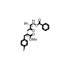 COC(=O)[C@@H](CC(=O)[C@@H](NOC(=O)c1ccccc1)C(C)C)Cc1ccc(F)cc1